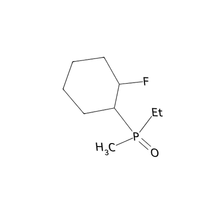 CCP(C)(=O)C1CCCCC1F